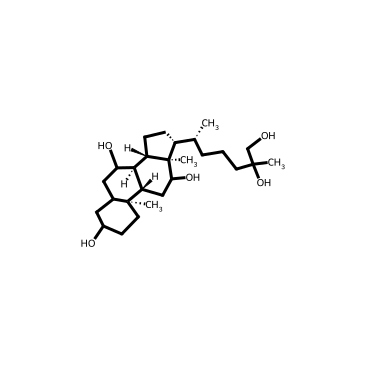 C[C@H](CCCC(C)(O)CO)[C@H]1CC[C@H]2[C@@H]3C(O)CC4CC(O)CC[C@]4(C)[C@H]3CC(O)[C@]12C